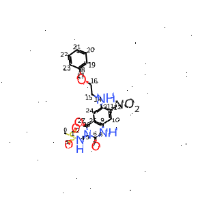 CS(=O)(=O)Nn1c(=O)[nH]c2cc([N+](=O)[O-])c(NCCOc3ccccc3)cc2c1=O